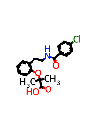 CC(C)(Oc1ccccc1CCNC(=O)c1ccc(Cl)cc1)C(=O)O